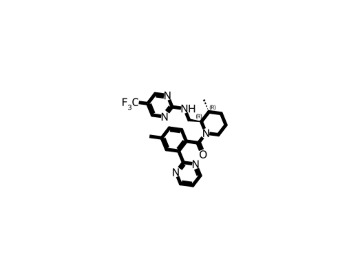 Cc1ccc(C(=O)N2CCC[C@@H](C)[C@@H]2CNc2ncc(C(F)(F)F)cn2)c(-c2ncccn2)c1